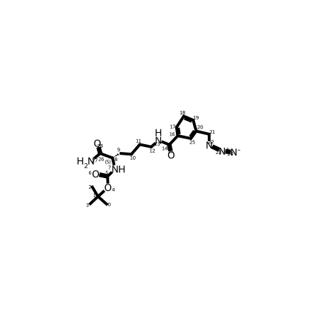 CC(C)(C)OC(=O)N[C@@H](CCCCNC(=O)c1cccc(CN=[N+]=[N-])c1)C(N)=O